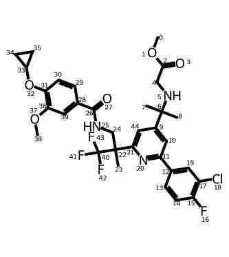 COC(=O)CNC(C)(C)c1cc(-c2ccc(F)c(Cl)c2)nc(C(C)(CNC(=O)c2ccc(OC3CC3)c(OC)c2)C(F)(F)F)c1